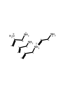 C=CCN.C=CCN.C=CCN.C=CCN.O